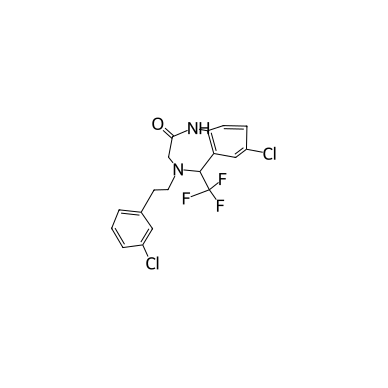 O=C1CN(CCc2cccc(Cl)c2)C(C(F)(F)F)c2cc(Cl)ccc2N1